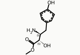 COC(=O)[C@@H](O)[C@@H](N)Cc1ccc(O)cc1